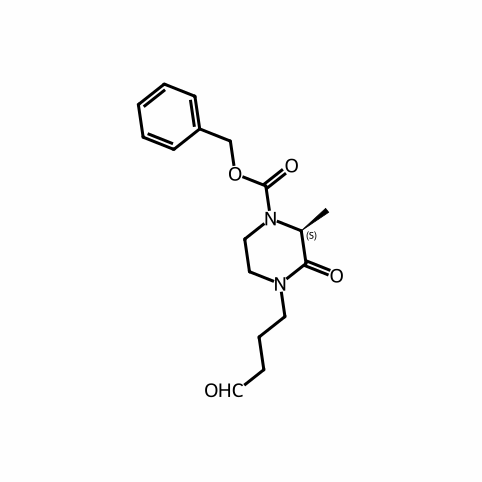 C[C@H]1C(=O)N(CCCC=O)CCN1C(=O)OCc1ccccc1